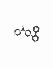 O=C(N1CCOCC1)N1CCN(c2cnccc2-c2ccccc2)CC1